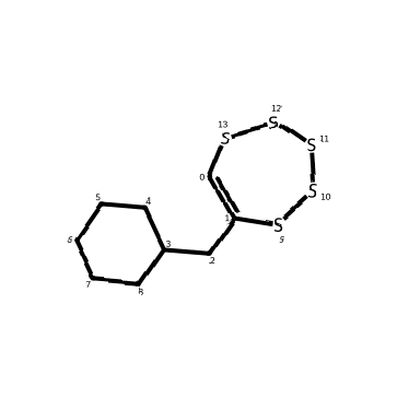 C1=C(CC2CCCCC2)SSSSS1